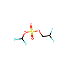 O=S(=O)(OCC(F)F)OC(F)F